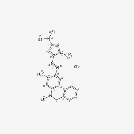 CCN(Cc1ccccc1)c1ccc(/N=N/c2sc(N(CC)CC)c[n+]2C)c(C)c1.[Cl-]